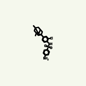 CC12CC3CC(C)(C1)CC(c1ccc(NS(=O)(=O)c4ccc(N)cc4)c(Cl)c1)(C3)C2